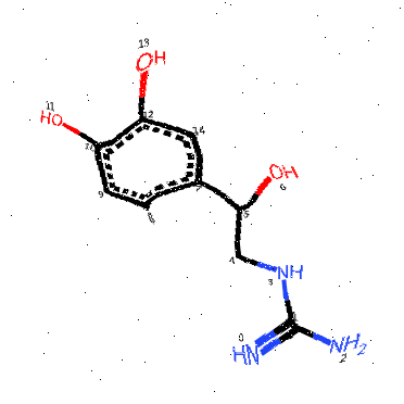 N=C(N)NCC(O)c1ccc(O)c(O)c1